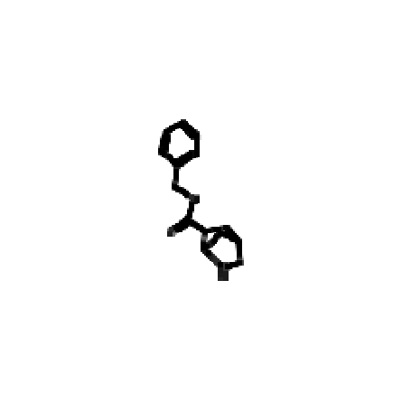 O=C(OCc1ccccc1)C1CC2CNC1C2